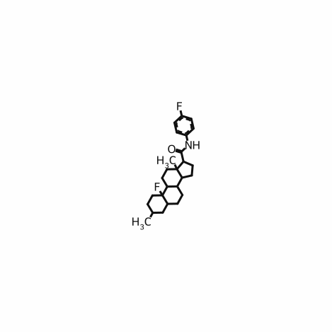 CC1CCC2(F)C(CCC3C4CCC(C(=O)Nc5ccc(F)cc5)C4(C)CCC32)C1